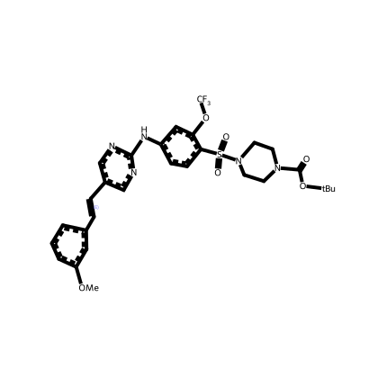 COc1cccc(/C=C/c2cnc(Nc3ccc(S(=O)(=O)N4CCN(C(=O)OC(C)(C)C)CC4)c(OC(F)(F)F)c3)nc2)c1